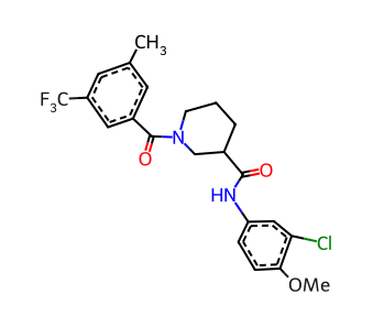 COc1ccc(NC(=O)C2CCCN(C(=O)c3cc(C)cc(C(F)(F)F)c3)C2)cc1Cl